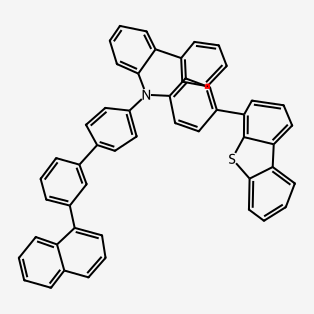 c1ccc(-c2ccccc2N(c2ccc(-c3cccc(-c4cccc5ccccc45)c3)cc2)c2ccc(-c3cccc4c3sc3ccccc34)cc2)cc1